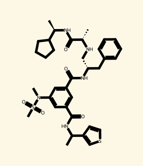 CC(NC(=O)c1cc(C(=O)N[C@H](CN[C@@H](C)C(=O)N[C@H](C)C2CCCC2)Cc2ccccc2)cc(N(C)S(C)(=O)=O)c1)c1ccsc1